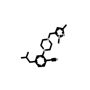 Cc1cc(CN2CCN(c3cc(CC(C)C)ccc3C#N)CC2)n(C)n1